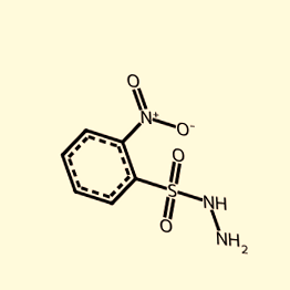 NNS(=O)(=O)c1ccccc1[N+](=O)[O-]